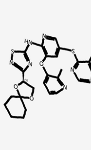 Cc1cccnc1Sc1cnc(Nc2nc([C@H]3COC4(CCCCC4)O3)ns2)c(Oc2cccnc2C)c1